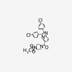 CS(=O)(=O)N1CCN(C(=O)c2ccc3nc(-c4ccc(Cl)cc4)c(-c4ccc(Cl)cc4)n3c2)CC1